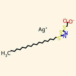 CCCCCCCCCCCCCCCCCCSc1nnc(SCC(=O)[O-])s1.[Ag+]